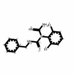 CCc1cccc(CC)c1N(C(=N)N)C(=S)NCc1ccccc1